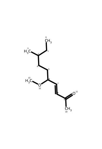 CCC(C)CCC(/C=C/C(C)=O)OC